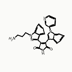 NCCCn1nc(C2=C(c3cn(-c4cccnc4)c4ccccc34)C(=O)NC2=O)c2ccccc21